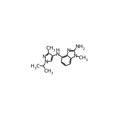 Cc1nn(C(C)C)cc1Nc1cccc2c1nc(N)n2C